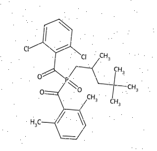 Cc1cccc(C)c1C(=O)P(=O)(CC(C)CC(C)(C)C)C(=O)c1c(Cl)cccc1Cl